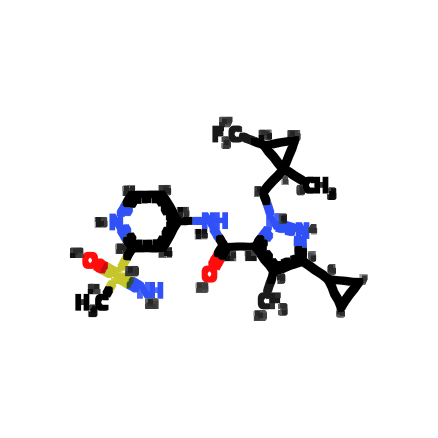 CC1(Cn2nc(C3CC3)c(C(F)(F)F)c2C(=O)Nc2ccnc(S(C)(=N)=O)c2)CC1C(F)(F)F